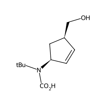 CC(C)(C)N(C(=O)O)[C@@H]1C=C[C@H](CO)C1